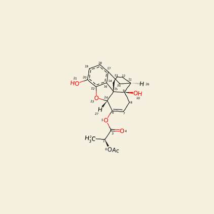 CC(=O)O[C@@H](C)C(=O)OC1=CC[C@@]2(O)[C@@H]3CCC[C@@]24c2c(ccc(O)c2O[C@@H]14)C3